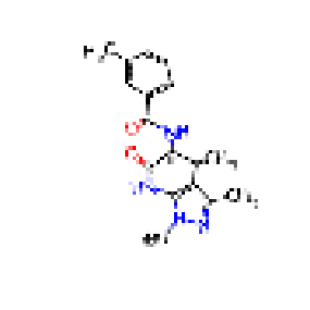 CCC(C)n1nc(C)c2c1NC(=O)[C@@H](NC(=O)c1cccc(C)c1)C2C